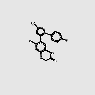 O=C1COc2cc(Cl)c(-c3cc(C(F)(F)F)nn3-c3ccc(F)cc3)cc2N1